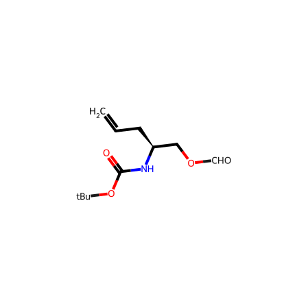 C=CC[C@@H](COC=O)NC(=O)OC(C)(C)C